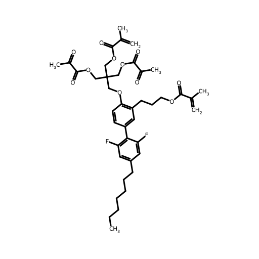 C=C(C)C(=O)OCCCc1cc(-c2c(F)cc(CCCCCCC)cc2F)ccc1OCC(COC(=O)C(=C)C)(COC(=O)C(C)=O)COC(=O)C(C)=O